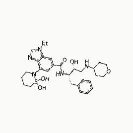 CCn1cnc2c(N3CCCCS3(O)O)cc(C(=O)N[C@@H](Cc3ccccc3)[C@H](O)CNC3CCOCC3)cc21